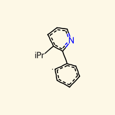 CC(C)c1cccnc1-c1[c]cccc1